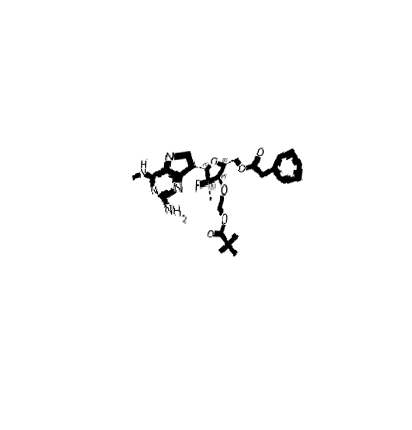 CNc1nc(N)nc2c1N=CC2[C@@H]1O[C@H](COC(=O)Cc2ccccc2)[C@@H](OCOC(=O)C(C)(C)C)[C@@]1(C)F